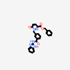 O=C(Nc1nc2ccccc2[nH]1)c1cccc(Cn2nc(C(=O)OCc3ccccc3)ccc2=O)c1